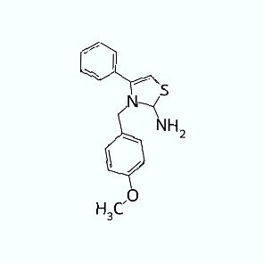 COc1ccc(CN2C(c3ccccc3)=CSC2N)cc1